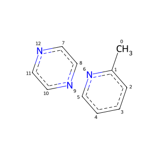 Cc1ccccn1.c1cnccn1